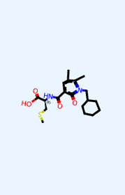 CSC[C@H](NC(=O)c1cc(C)c(C)n(CC2CCCCC2)c1=O)C(=O)O